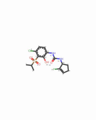 CC(C)S(=O)(=O)c1c(Cl)ccc(NC(=O)NC2CCC=C2F)c1O